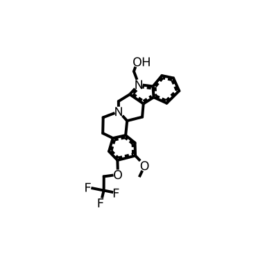 COc1cc2c(cc1OCC(F)(F)F)CCN1Cc3c(c4ccccc4n3CO)CC21